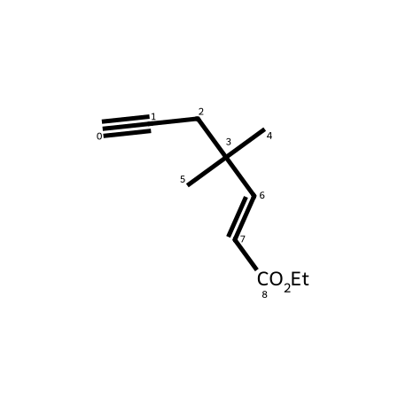 C#CCC(C)(C)/C=C/C(=O)OCC